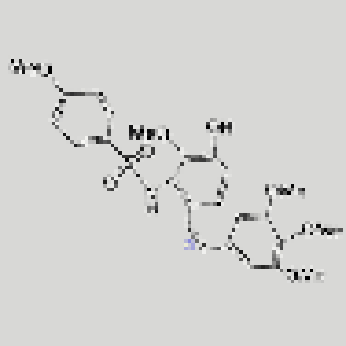 COc1ccc(S(=O)(=O)Nc2c(/C=C\c3cc(OC)c(OC)c(OC)c3)ccc(O)c2OC)cc1